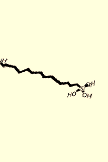 CNCCCCCCCCCCCC[Si](O)(O)O